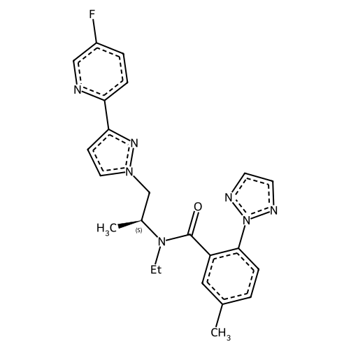 CCN(C(=O)c1cc(C)ccc1-n1nccn1)[C@@H](C)Cn1ccc(-c2ccc(F)cn2)n1